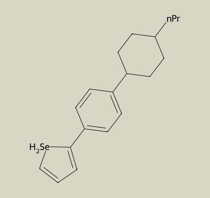 CCCC1CCC(c2ccc(C3=CC=C[SeH2]3)cc2)CC1